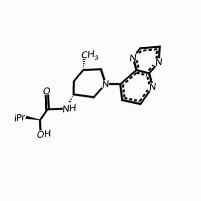 CC(C)[C@H](O)C(=O)N[C@@H]1C[C@H](C)CN(c2ccnc3nccnc23)C1